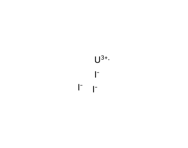 [I-].[I-].[I-].[U+3]